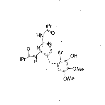 COc1cc(Cc2cnc(NC(=O)C(C)C)nc2NC(=O)C(C)C)c(C(C)=O)c(O)c1OC